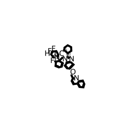 O=C(O)[C@H]1CCCC[C@H]1c1nc2cc(OCc3ccc4ccccc4n3)ccc2n1CC1(N2CCC(F)(F)CC2)C=CC=CC1F